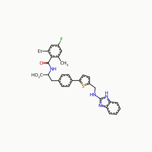 CCc1cc(F)cc(C)c1C(=O)NC(Cc1ccc(-c2ccc(CNc3nc4ccccc4[nH]3)s2)cc1)C(=O)O